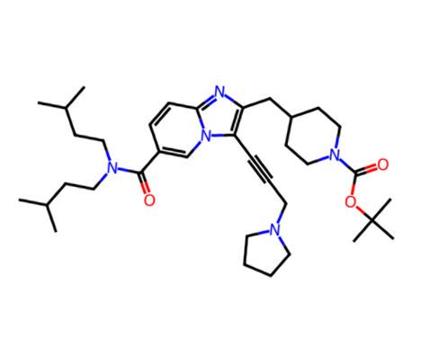 CC(C)CCN(CCC(C)C)C(=O)c1ccc2nc(CC3CCN(C(=O)OC(C)(C)C)CC3)c(C#CCN3CCCC3)n2c1